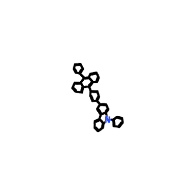 c1ccc(-c2c3ccccc3c(-c3ccc(-c4ccc5c(c4)c4ccccc4n5-c4ccccc4)cc3)c3ccccc23)cc1